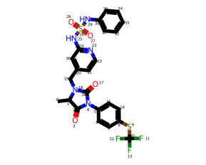 CC1C(=O)N(c2ccc(SC(F)(F)F)cc2)C(=O)N1Cc1ccnc(NS(=O)(=O)Nc2ccccc2)c1